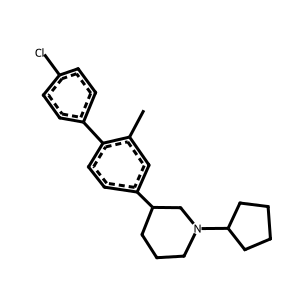 Cc1cc(C2CCCN(C3CCCC3)C2)ccc1-c1ccc(Cl)cc1